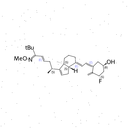 C=C1/C(=C\C=C2/CCC[C@]3(C)C([C@@H](C)C/C=C/C(=NOC)C(C)(C)C)=CC[C@@H]23)C[C@@H](O)C[C@@H]1F